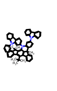 CC(C)(C)c1c2c(c3c4c1-c1ccccc1C4(C)c1ccc(-n4c5ccccc5c5ccccc54)cc1N3c1ccc3c4ccccc4n(-c4ccccc4)c3c1)C(C)(C)c1ccccc1-2